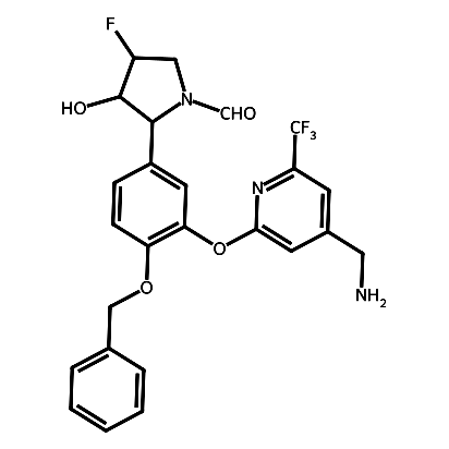 NCc1cc(Oc2cc(C3C(O)C(F)CN3C=O)ccc2OCc2ccccc2)nc(C(F)(F)F)c1